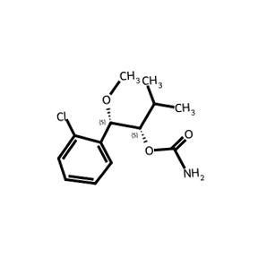 CO[C@@H](c1ccccc1Cl)[C@@H](OC(N)=O)C(C)C